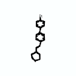 CCc1ccc(-c2ccc(CCC3CC[CH]CC3)cc2)cc1